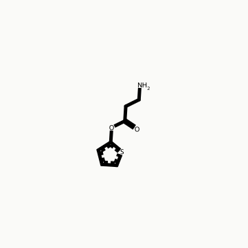 NCCC(=O)Oc1cccs1